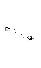 CCCCCC[SiH]